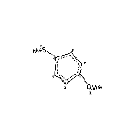 COc1ccc(S[13CH3])cc1